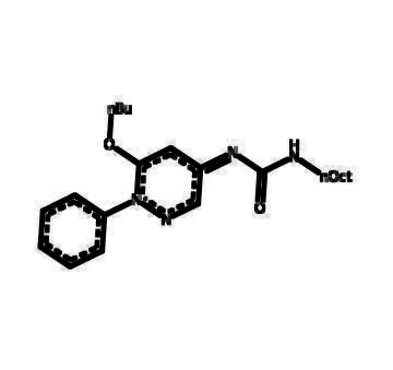 CCCCCCCCNC(=O)N=c1cnn(-c2ccccc2)c(OCCCC)c1